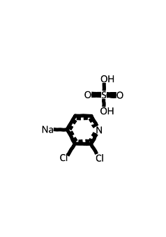 O=S(=O)(O)O.[Na][c]1ccnc(Cl)c1Cl